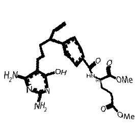 C=CC(CCCc1c(N)nc(N)nc1O)c1ccc(C(=O)N[C@H](CCC(=O)OC)C(=O)OC)cc1